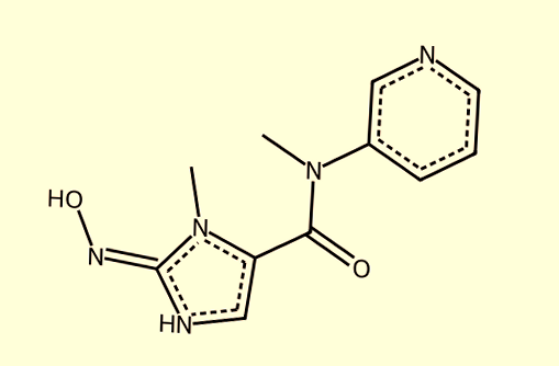 CN(C(=O)c1c[nH]c(=NO)n1C)c1cccnc1